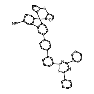 N#Cc1ccc2c(c1)-c1cc(-c3ccc(-c4cccc(-c5nc(-c6ccccc6)nc(-c6ccccc6)n5)c4)cc3)ccc1C21c2ccccc2Sc2ccccc21